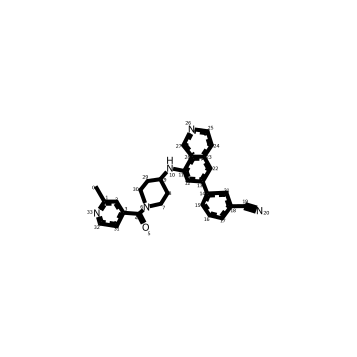 Cc1cc(C(=O)N2CCC(Nc3cc(-c4cccc(C#N)c4)cc4ccncc34)CC2)ccn1